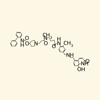 Cc1cc(CNCCc2ccc(O)c3[nH]c(=O)ccc23)ccc1NC(=O)CCCN(C)C(=O)CCN1CCC(OC(=O)Nc2ccccc2-c2ccccc2)CC1